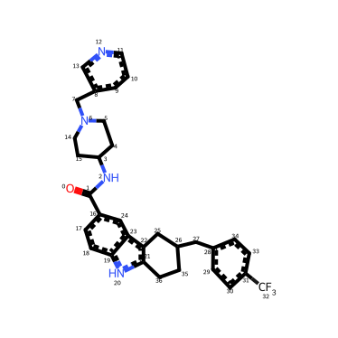 O=C(NC1CCN(Cc2cccnc2)CC1)c1ccc2[nH]c3c(c2c1)CC(Cc1ccc(C(F)(F)F)cc1)CC3